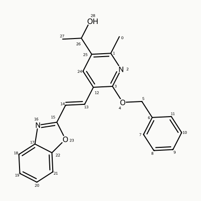 Cc1nc(OCc2ccccc2)c(C=Cc2nc3ccccc3o2)cc1C(C)O